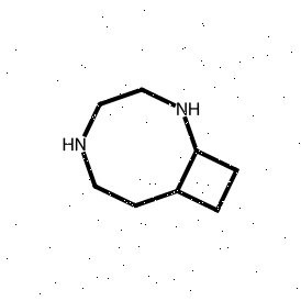 C1CNC2CCC2CCN1